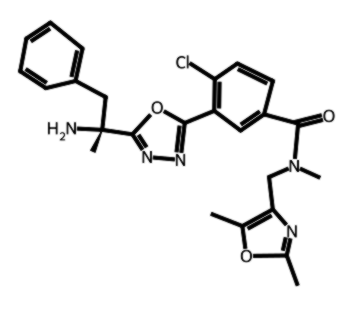 Cc1nc(CN(C)C(=O)c2ccc(Cl)c(-c3nnc([C@](C)(N)Cc4ccccc4)o3)c2)c(C)o1